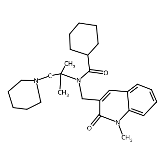 Cn1c(=O)c(CN(C(=O)C2CCCCC2)C(C)(C)CN2CCCCC2)cc2ccccc21